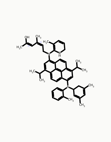 CC1=CC(N(c2ccccc2C)c2cc(C(C)C)c3ccc4c(N(C/C=C(C)\C=C(\C)O)C5=C(C)C=CCB5)cc(C(C)C)c5ccc2c3c54)CC(C)=C1